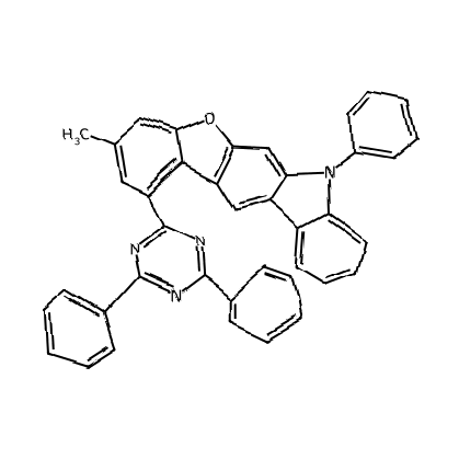 Cc1cc(-c2nc(-c3ccccc3)nc(-c3ccccc3)n2)c2c(c1)oc1cc3c(cc12)c1ccccc1n3-c1ccccc1